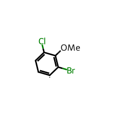 COc1c(Br)[c]ccc1Cl